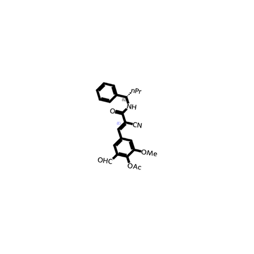 CCC[C@H](NC(=O)/C(C#N)=C/c1cc(C=O)c(OC(C)=O)c(OC)c1)c1ccccc1